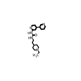 CCN1CCC(CCNC(=O)Nc2cc(-c3cccnc3)ccn2)CC1